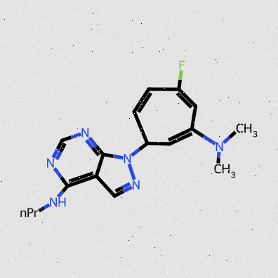 CCCNc1ncnc2c1cnn2C1C=CC(F)=CC(N(C)C)=C1